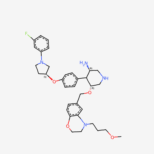 COCCCN1CCOc2ccc(CO[C@H]3CNC[C@H](N)C3c3ccc(O[C@H]4CCN(c5cccc(F)c5)C4)cc3)cc21